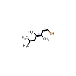 CC(/C=C\S)=C(/C)CC(C)C